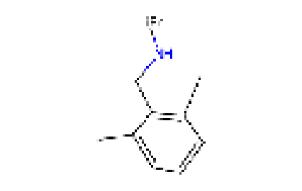 Cc1cccc(C)c1CNC(C)C